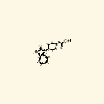 O=C(O)ON1CCC(n2c(=O)[nH]c3ncccc32)CC1